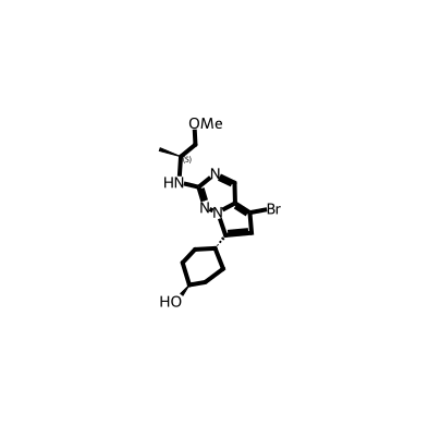 COC[C@H](C)Nc1ncc2c(Br)cc([C@H]3CC[C@H](O)CC3)n2n1